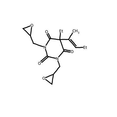 CCC=C(C)C1(CC)C(=O)N(CC2CO2)C(=O)N(CC2CO2)C1=O